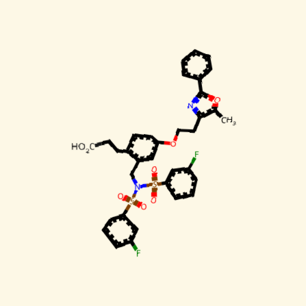 Cc1oc(-c2ccccc2)nc1CCOc1ccc(CCC(=O)O)c(CN(S(=O)(=O)c2cccc(F)c2)S(=O)(=O)c2cccc(F)c2)c1